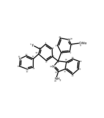 COc1cc(C2(c3ccc(F)c(-c4cncnc4)c3)N=C(N)c3ccccc32)ccn1